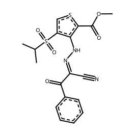 COC(=O)c1scc(S(=O)(=O)C(C)C)c1N/N=C(\C#N)C(=O)c1ccccc1